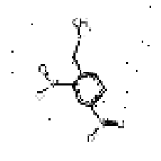 C[CH]Cc1ccc([N+](=O)[O-])cc1[N+](=O)[O-]